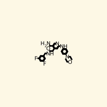 NC(=O)c1cnc(Nc2ccc(N3CCOCC3)cc2)cc1CCNCc1cc(F)cc(F)c1